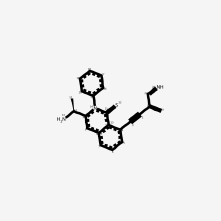 C=C(C#Cc1cccc2cc([C@H](C)N)n(-c3ccccc3)c(=S)c12)C=N